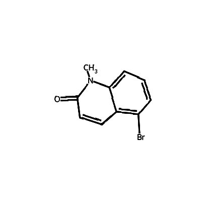 Cn1c(=O)ccc2c(Br)cccc21